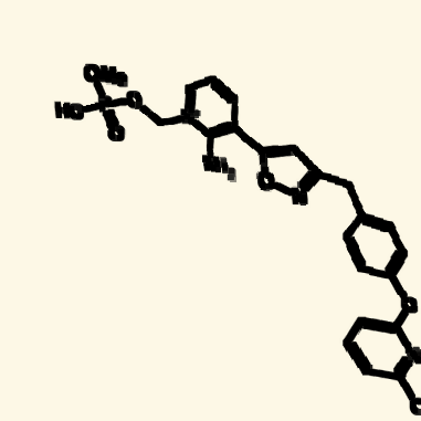 COP(=O)(O)OC[n+]1cccc(-c2cc(Cc3ccc(Oc4cccc(Cl)n4)cc3)no2)c1N